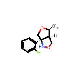 Fc1ccccc1[C@]12CO[C@H](C(F)(F)F)[C@H]1CON2